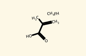 C.C=C(C)C(=O)O.F